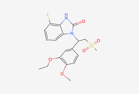 CCOc1cc(C(CS(C)(=O)=O)n2c(=O)[nH]c3c(F)cccc32)ccc1OC